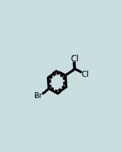 ClC(Cl)c1ccc(Br)cc1